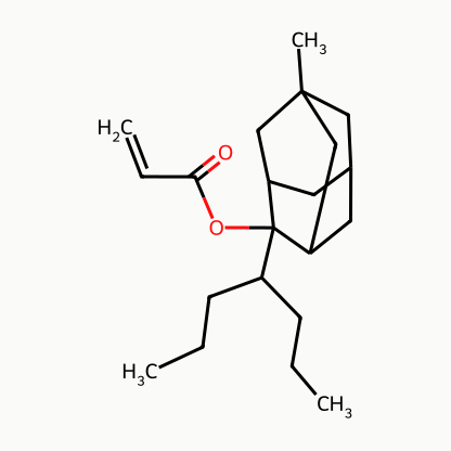 C=CC(=O)OC1(C(CCC)CCC)C2CC3CC1CC(C)(C3)C2